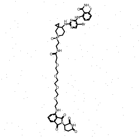 NC(=O)c1c(F)cccc1Nc1nc(NC2CCN([S+]([O-])CCNC(=O)CCOCCOCCOCCOCCNc3cccc4c3C(=O)N(C3CCC(=O)NC3=O)C4=O)CC23CC3)ncc1Br